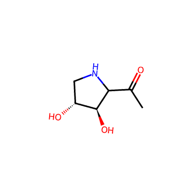 CC(=O)C1NC[C@@H](O)[C@@H]1O